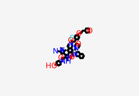 Cc1c(-c2c(C(=O)Nc3ccc(O)cc3)c(C)n(C)c2-c2cc3c(cc2C(=O)N2Cc4ccccc4C[C@H]2CN2CCOCC2)CN(C(=O)Cc2ccc(OCCC4CCOCC4)cc2F)CC3)cc(C#N)n1C